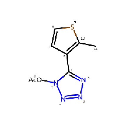 CC(=O)On1nnnc1-c1ccsc1C